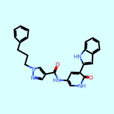 O=C(Nc1c[nH]c(=O)c(-c2cc3ccccc3[nH]2)c1)c1cnn(CCCc2ccccc2)c1